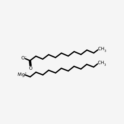 CCCCCCCCCCCC(=O)[O-].CCCCCCCCCCC[CH2][Mg+]